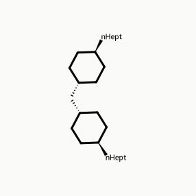 CCCCCCC[C@H]1CC[C@H](C[C@H]2CC[C@H](CCCCCCC)CC2)CC1